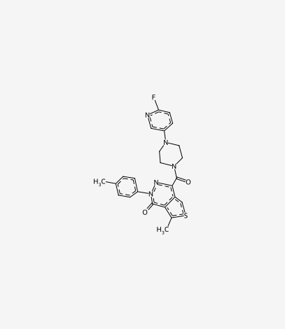 Cc1ccc(-n2nc(C(=O)N3CCN(c4ccc(F)nc4)CC3)c3csc(C)c3c2=O)cc1